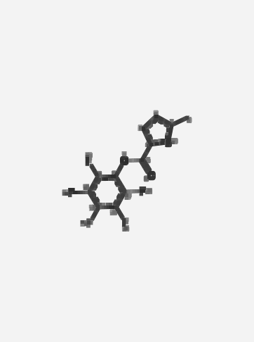 Cc1ccc(C(=O)Oc2c(F)c(F)c(F)c(F)c2F)s1